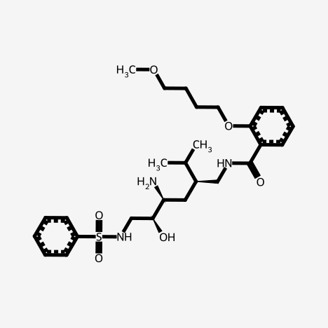 COCCCCOc1ccccc1C(=O)NC[C@@H](C[C@H](N)[C@@H](O)CNS(=O)(=O)c1ccccc1)C(C)C